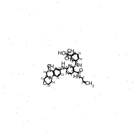 C=CCNC(=O)c1cnc(Nc2ccc3c(c2)N(C)CC2COCCN32)nc1Nc1cccc(C(C)(C)O)n1